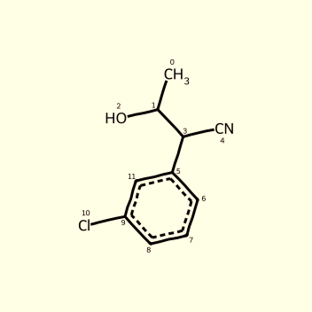 CC(O)C(C#N)c1cccc(Cl)c1